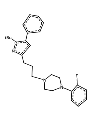 CC(C)(C)n1nc(CCCN2CCN(c3ccccc3F)CC2)cc1-c1ccccc1